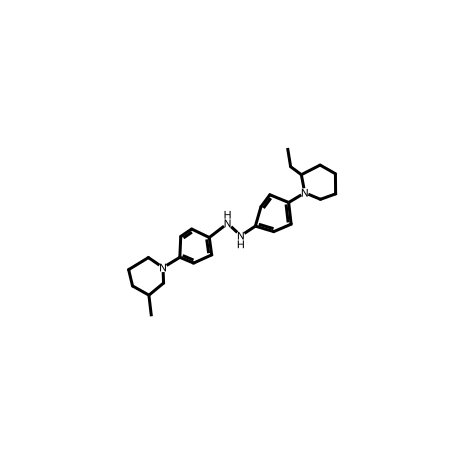 CCC1CCCCN1c1ccc(NNc2ccc(N3CCCC(C)C3)cc2)cc1